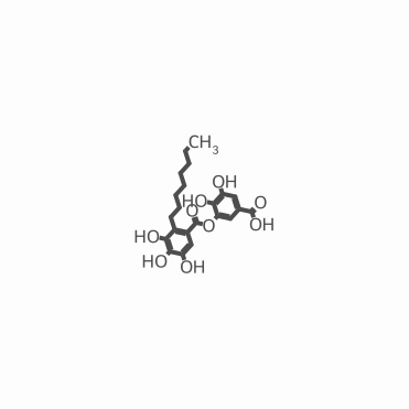 CCCCCCCCc1c(C(=O)Oc2cc(C(=O)O)cc(O)c2O)cc(O)c(O)c1O